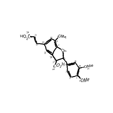 COc1ccc(C2Oc3c(OC)cc(/C=C/C(=O)O)cc3C2C(=O)O)cc1OC